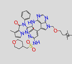 Cc1ccn2nc([C@H](C)Nc3ncnc4c3c(-c3ccnc(NS(=O)(=O)CC5CCOCC5)c3)cn4COCC[Si](C)(C)C)n(-c3ccccc3)c(=O)c12